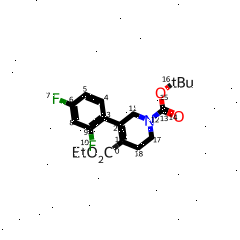 CCOC(=O)C1=C(c2ccc(F)cc2F)CN(C(=O)OC(C)(C)C)CC1